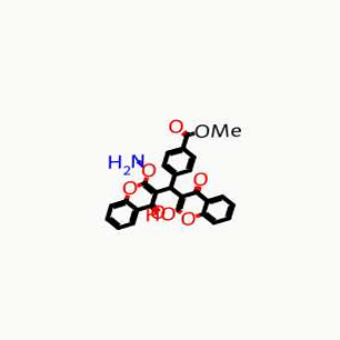 COC(=O)c1ccc(C(c2c(O)oc3ccccc3c2=O)c2c(ON)oc3ccccc3c2=O)cc1